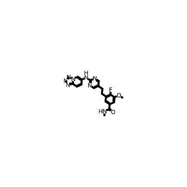 CNC(=O)c1cc(CCc2cnc(Nc3ccc4nnnn4c3)nc2)c(F)c(OC)c1